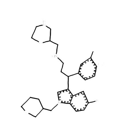 Cc1cccc(C(CCNCC2CNCCO2)c2cn(CC3CCCCC3)c3ccc(Br)cc23)c1.Cl